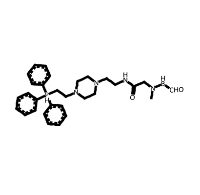 CN(BC=O)CC(=O)NCCN1CCN(CC[PH](c2ccccc2)(c2ccccc2)c2ccccc2)CC1